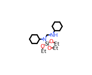 CCO[Si](OCC)(OCC)N(CNC1CCCCC1)C1CCCCC1